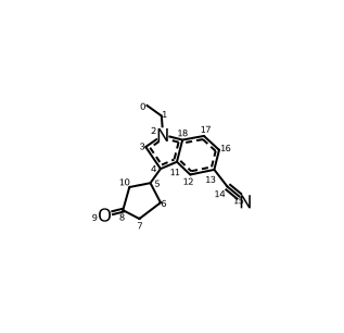 CCn1cc(C2CCC(=O)C2)c2cc(C#N)ccc21